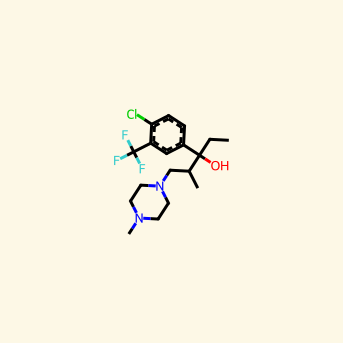 CCC(O)(c1ccc(Cl)c(C(F)(F)F)c1)C(C)CN1CCN(C)CC1